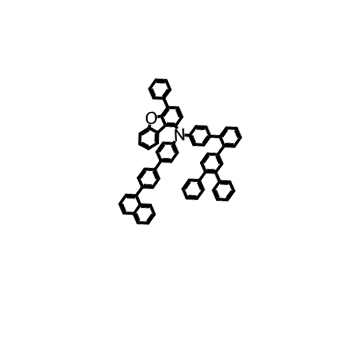 c1ccc(-c2ccc(-c3ccccc3-c3ccc(N(c4ccc(-c5ccc(-c6cccc7ccccc67)cc5)cc4)c4ccc(-c5ccccc5)c5oc6ccccc6c45)cc3)cc2-c2ccccc2)cc1